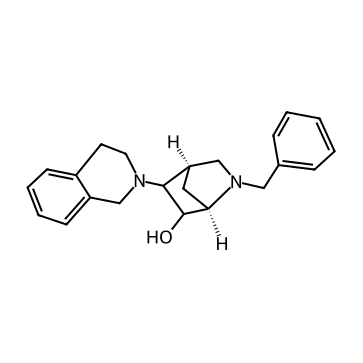 OC1C(N2CCc3ccccc3C2)[C@@H]2C[C@H]1N(Cc1ccccc1)C2